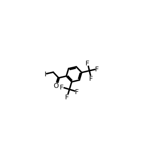 O=C(CI)c1ccc(C(F)(F)F)cc1C(F)(F)F